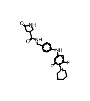 O=C1CC(C(=O)NCc2ccc(Nc3cc(F)c(N4CCCCC4)c(F)c3)cc2)CN1